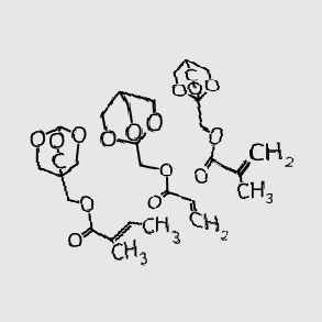 C=C(C)C(=O)OCC12OCC(CO1)CO2.C=CC(=O)OCC12OCC(CO1)CO2.CC=C(C)C(=O)OCC12COC(OC1)OC2